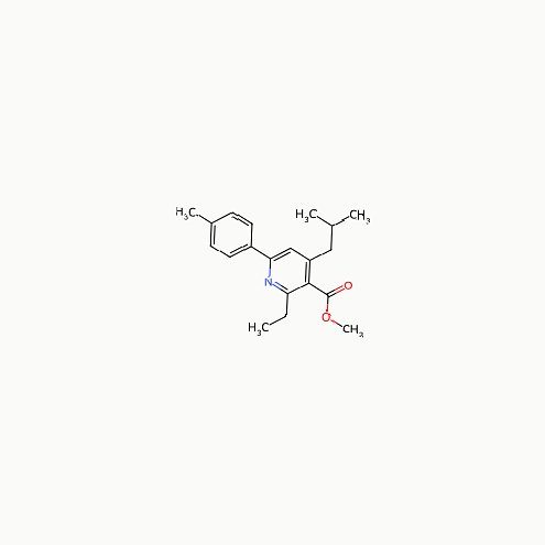 CCc1nc(-c2ccc(C)cc2)cc(CC(C)C)c1C(=O)OC